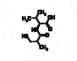 CC(CS)C(=O)N[C@H](C(=O)O)C(C)C